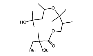 CC(CC(C)(C)O)OC(C)(C)C(C)COC(=O)C(C)(CC(C)(C)C)C(C)(C)C